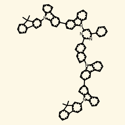 CC1(C)c2ccccc2-c2ccc(-n3c4ccccc4c4cc(-c5ccc6c(c5)c5ccccc5n6-c5ccc6ccc(-c7nc(-c8ccccc8)cc(-n8c9ccccc9c9cc(-c%10ccc%11c(c%10)c%10ccccc%10n%11-c%10ccc%11c(c%10)C(C)(C)c%10ccccc%10-%11)ccc98)n7)cc6c5)ccc43)cc21